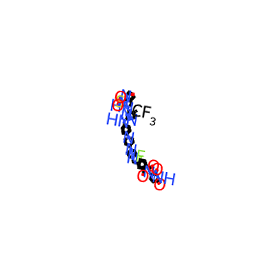 CN(c1ncccc1CNc1nc(Nc2ccc(N3CCC(N4CCN(Cc5cc6c(cc5F)C(=O)N(C5CCC(=O)NC5=O)C6=O)CC4)CC3)cc2)ncc1C(F)(F)F)S(C)(=O)=O